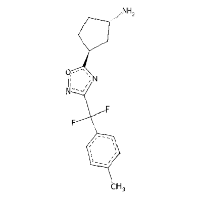 Cc1ccc(C(F)(F)c2noc([C@H]3CC[C@H](N)C3)n2)cc1